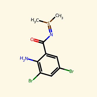 CS(C)=NC(=O)c1cc(Br)cc(Br)c1N